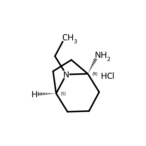 CCN1[C@H]2CCC[C@]1(N)CC2.Cl